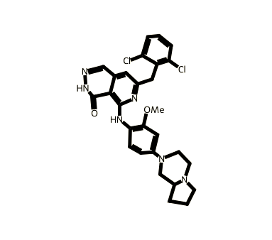 COc1cc(N2CCN3CCCC3C2)ccc1Nc1nc(Cc2c(Cl)cccc2Cl)cc2cn[nH]c(=O)c12